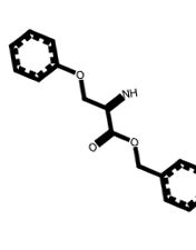 N=C(COc1ccccc1)C(=O)OCc1ccccc1